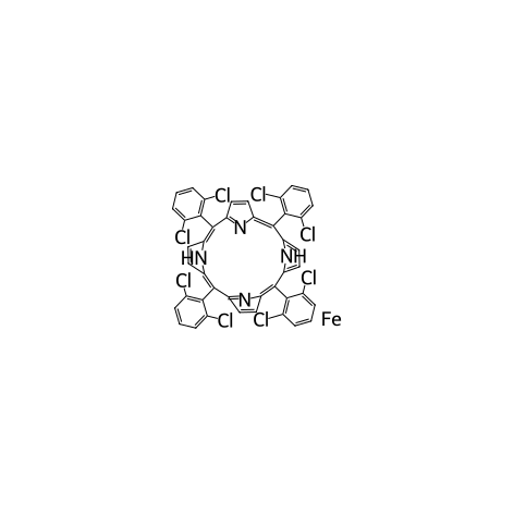 Clc1cccc(Cl)c1-c1c2nc(c(-c3c(Cl)cccc3Cl)c3ccc([nH]3)c(-c3c(Cl)cccc3Cl)c3nc(c(-c4c(Cl)cccc4Cl)c4ccc1[nH]4)C=C3)C=C2.[Fe]